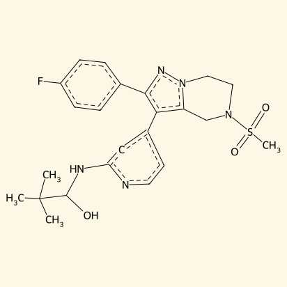 CC(C)(C)C(O)Nc1cc(-c2c(-c3ccc(F)cc3)nn3c2CN(S(C)(=O)=O)CC3)ccn1